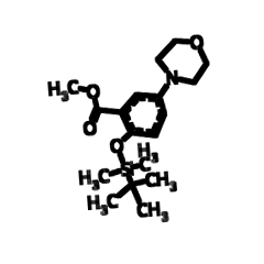 COC(=O)c1cc(N2CCOCC2)ccc1O[Si](C)(C)C(C)(C)C